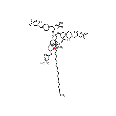 CCCCCCCCCCCCCCCCCC[N+](C)(C)CCC[Si](OC(CN1CCN(CC(O)CS(=O)(=O)O)CC1)CS(=O)(=O)O)(OC(CN1CCN(CC(O)CS(=O)(=O)O)CC1)CS(=O)(=O)O)OC(CN1CCN(CC(O)CS(=O)(=O)O)CC1)CS(=O)(=O)O